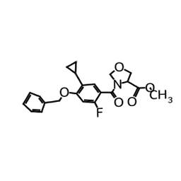 COC(=O)C1COCN1C(=O)c1cc(C2CC2)c(OCc2ccccc2)cc1F